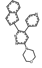 c1ccc2cc(-c3nnc(N4CCOCC4)cc3-c3ccncc3)ccc2c1